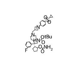 CC(C)(C)OC(=O)NCC(c1cccc(F)c1)(C1CCN(CC2CN(c3ccc(S(=O)(=O)C4CC4)cc3)C2)CC1)[C@H]1CCC[C@@H]1OC(N)=O